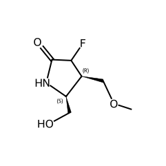 COC[C@@H]1C(F)C(=O)N[C@@H]1CO